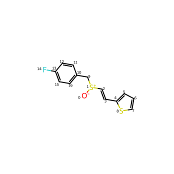 [O-][S+](C=Cc1cccs1)Cc1ccc(F)cc1